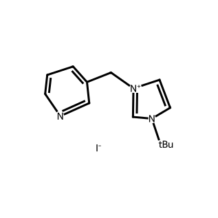 CC(C)(C)n1cc[n+](Cc2cccnc2)c1.[I-]